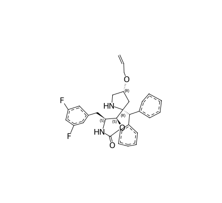 C=CCO[C@H]1CN[C@](C(c2ccccc2)c2ccccc2)([C@H]2OC(=O)N[C@H]2Cc2cc(F)cc(F)c2)C1